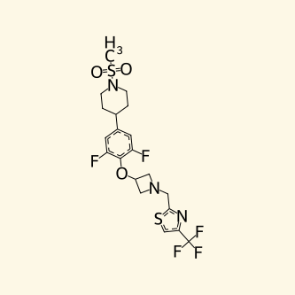 CS(=O)(=O)N1CCC(c2cc(F)c(OC3CN(Cc4nc(C(F)(F)F)cs4)C3)c(F)c2)CC1